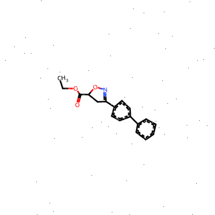 CCOC(=O)C1CC(c2ccc(-c3ccccc3)cc2)=NO1